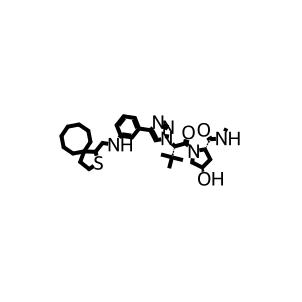 CNC(=O)[C@@H]1C[C@@H](O)CN1C(=O)[C@@H](n1cc(-c2cccc(NCC3SCCC34CCCCCCC4)c2)nn1)C(C)(C)C